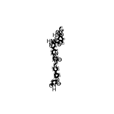 CCN(C)S(=O)(=O)Nc1ccc(F)c(C(=O)c2c[nH]c3ncc(-c4ccc(N5CCN(CCN6CCC(c7ccc(OC8CCC(=O)NC8=O)cc7)CC6)C(=O)C5)nc4)cc23)c1F